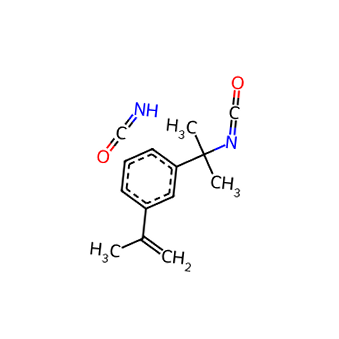 C=C(C)c1cccc(C(C)(C)N=C=O)c1.N=C=O